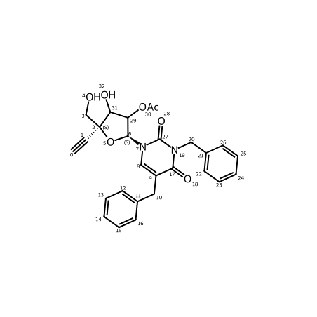 C#C[C@@]1(CO)O[C@H](n2cc(Cc3ccccc3)c(=O)n(Cc3ccccc3)c2=O)C(OC(C)=O)C1O